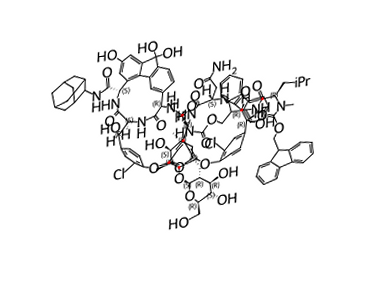 CC(C)C[C@H](C(=O)N[C@H]1C(=O)N[C@@H](CC(N)=O)C(=O)N[C@H]2C(=O)N[C@H]3C(=O)N[C@H](C(=O)N[C@H](C(=O)NC4C5CC6CC(C5)CC4C6)c4cc(O)cc5c4-c4cc3ccc4C5(O)O)[C@H](O)c3ccc(c(Cl)c3)Oc3cc2cc(c3O[C@@H]2O[C@H](CO)[C@@H](O)[C@H](O)[C@H]2C[C@H]2C[C@](C)(NC(=O)OCC3c4ccccc4-c4ccccc43)[C@H](O)[C@H](C)O2)Oc2ccc(cc2Cl)[C@H]1O)N(C)C(=O)OCC1c2ccccc2-c2ccccc21